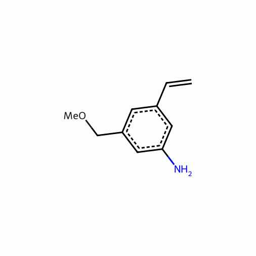 C=Cc1cc(N)cc(COC)c1